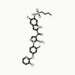 Nc1c(C(=O)c2cc3cc(F)c(NS(=O)(=O)CCCF)cc3[nH]2)cnn1-c1ccc(Oc2ncccc2Cl)cc1F